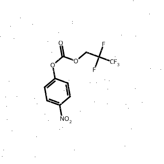 O=C(OCC(F)(F)C(F)(F)F)Oc1ccc([N+](=O)[O-])cc1